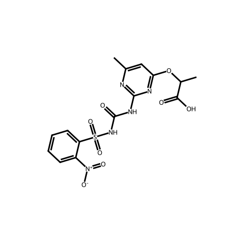 Cc1cc(OC(C)C(=O)O)nc(NC(=O)NS(=O)(=O)c2ccccc2[N+](=O)[O-])n1